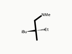 CC[C@H](C)[C@@](C)(CC)CNC